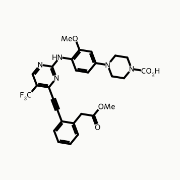 COC(=O)Cc1ccccc1C#Cc1nc(Nc2ccc(N3CCN(C(=O)O)CC3)cc2OC)ncc1C(F)(F)F